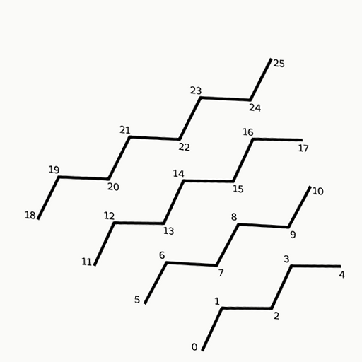 CCCCC.CCCCCC.CCCCCCC.CCCCCCCC